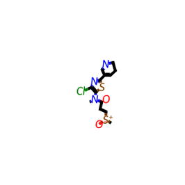 CN(C(=O)CC[S+](C)[O-])c1sc(C2=CCCN=C2)nc1Cl